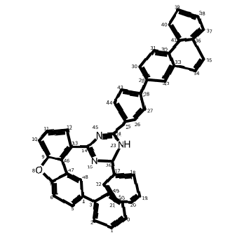 c1ccc(-c2ccc3oc4cccc(C5=NC(c6ccccc6)NC(c6ccc(-c7ccc8c(ccc9ccccc98)c7)cc6)=N5)c4c3c2)cc1